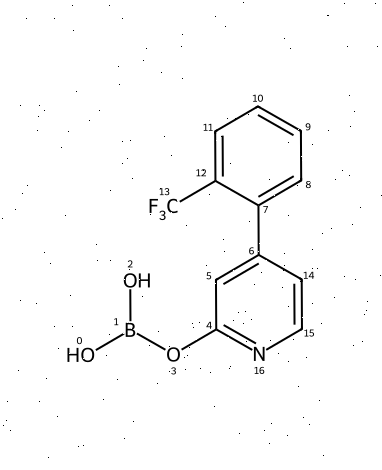 OB(O)Oc1cc(-c2ccccc2C(F)(F)F)ccn1